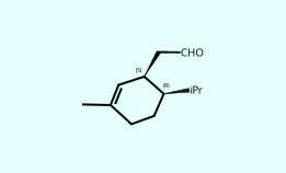 CC1=C[C@@H](CC=O)[C@@H](C(C)C)CC1